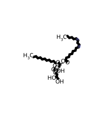 CCCCC/C=C\C/C=C\CCCCCCCC(=O)OC[C@H](COP(=O)(O)OC[C@@H](O)CO)OC(=O)CCCCCCCCCCC